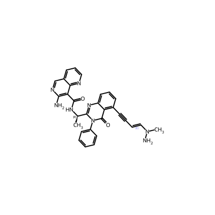 C[C@@H](NC(=O)c1c(N)ncc2cccnc12)c1nc2cccc(C#C/C=C/N(C)N)c2c(=O)n1-c1ccccc1